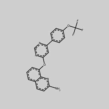 Nc1ccc2cccc(Oc3cc(-c4ccc(OC(F)(F)F)cc4)ncn3)c2n1